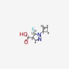 O=C(O)c1cnn(C23CC(C2)C3)c1F